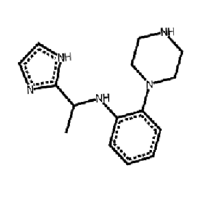 CC(Nc1ccccc1N1CCNCC1)c1ncc[nH]1